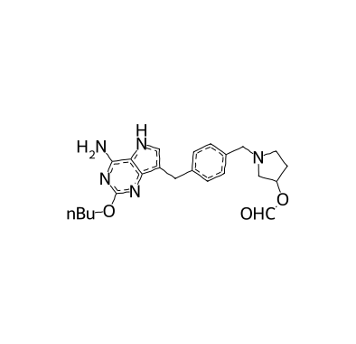 CCCCOc1nc(N)c2[nH]cc(Cc3ccc(CN4CCC(OC=O)C4)cc3)c2n1